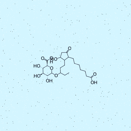 CCC(CCC1C(O)CC(=O)C1CCCCCCC(=O)O)OC1O[C@H](C(=O)O)[C@@H](O)[C@H](O)[C@H]1O